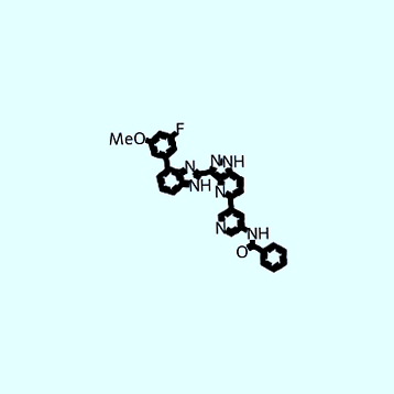 COc1cc(F)cc(-c2cccc3[nH]c(-c4n[nH]c5ccc(-c6cncc(NC(=O)c7ccccc7)c6)nc45)nc23)c1